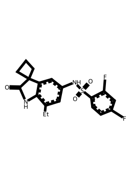 CCc1cc(NS(=O)(=O)c2ccc(F)cc2F)cc2c1NC(=O)C21CCC1